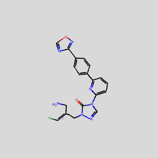 NC/C(=C\F)Cn1ncn(-c2cccc(-c3ccc(-c4ncon4)cc3)n2)c1=O